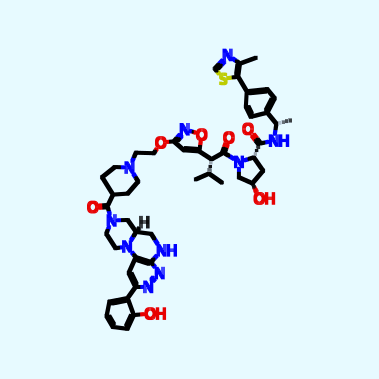 Cc1ncsc1-c1ccc([C@H](C)NC(=O)[C@@H]2C[C@@H](O)CN2C(=O)[C@@H](c2cc(OCCN3CCC(C(=O)N4CCN5c6cc(-c7ccccc7O)nnc6NC[C@H]5C4)CC3)no2)C(C)C)cc1